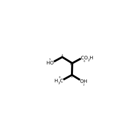 CC(O)C(CO)C(=O)O